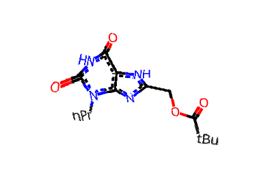 CCCn1c(=O)[nH]c(=O)c2[nH]c(COC(=O)C(C)(C)C)nc21